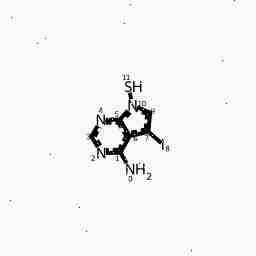 Nc1ncnc2c1c(I)cn2S